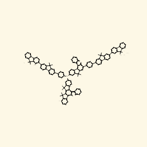 CCCCCCCC1(CCCCCCC)c2ccccc2-c2ccc(-c3ccc4c(c3)C(C)(C)c3cc(-c5ccc(-c6cc7c(c8c6oc6ccccc68)-c6ccc(N(c8ccc(-c9ccc%10c(c9)C(C)(C)c9cc(-c%11ccc%12c(c%11)C(CCCCCCC)(CCCCCCC)c%11ccccc%11-%12)ccc9-%10)cc8)c8ccc9c(c8)C(C)(C)c8c%10c(c%11oc%12ccccc%12c%11c8-9)-c8ccccc8C%10(C)C)cc6C7(C)C)cc5)ccc3-4)cc21